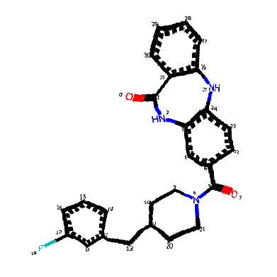 O=C1Nc2cc(C(=O)N3CCC(Cc4cccc(F)c4)CC3)ccc2Nc2ccccc21